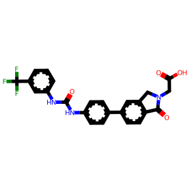 O=C(O)CN1Cc2cc(-c3ccc(NC(=O)Nc4cccc(C(F)(F)F)c4)cc3)ccc2C1=O